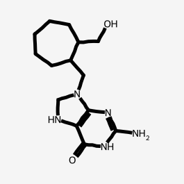 Nc1nc2c(c(=O)[nH]1)NCN2CC1CCCCCC1CO